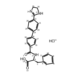 Cl.O=C(N[C@@H](Cc1ccccc1)C(=O)O)c1ccc(-c2ccc(C3=NCCN3)cc2)cc1